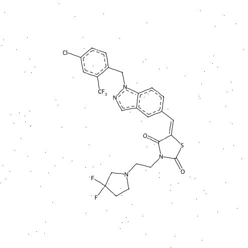 O=C1SC(=Cc2ccc3c(cnn3Cc3ccc(Cl)cc3C(F)(F)F)c2)C(=O)N1CCN1CCC(F)(F)C1